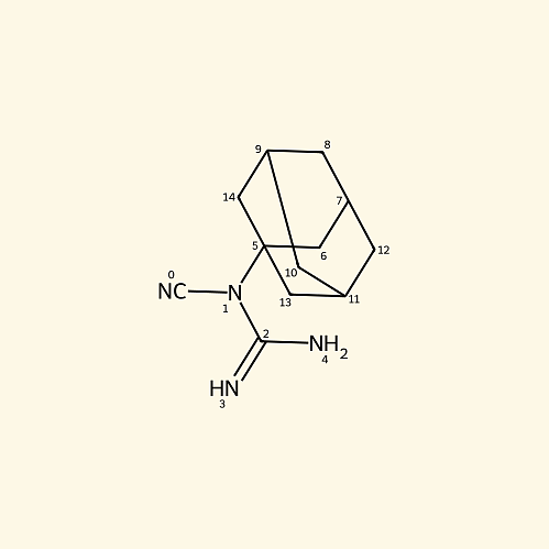 N#CN(C(=N)N)C12CC3CC(CC(C3)C1)C2